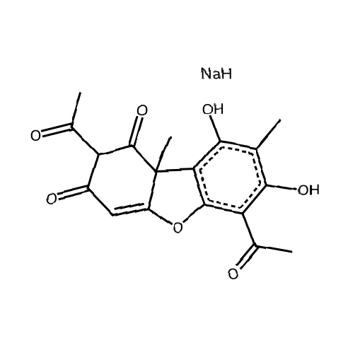 CC(=O)c1c(O)c(C)c(O)c2c1OC1=CC(=O)C(C(C)=O)C(=O)C12C.[NaH]